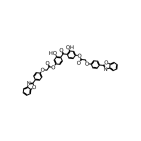 O=C(COc1ccc(-c2nc3ccccc3o2)cc1)Oc1ccc(C(=O)c2ccc(OC(=O)COc3ccc(-c4nc5ccccc5o4)cc3)cc2O)c(O)c1